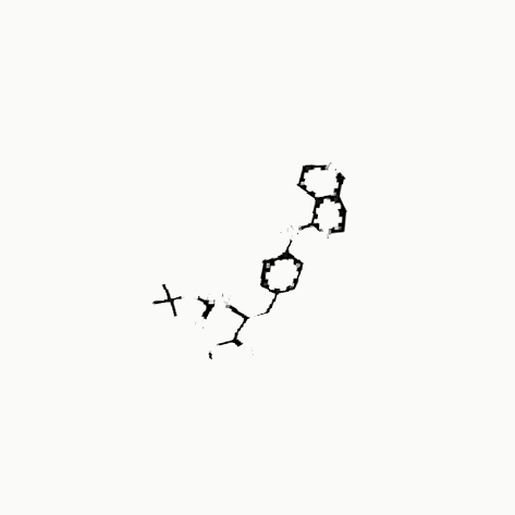 COC(=O)[C@H](Cc1ccc(Nc2nccc3cnccc23)cc1)NC(=O)OC(C)(C)C